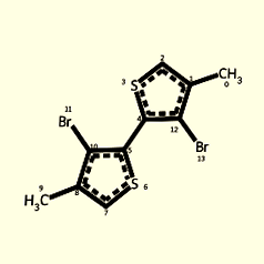 Cc1csc(-c2scc(C)c2Br)c1Br